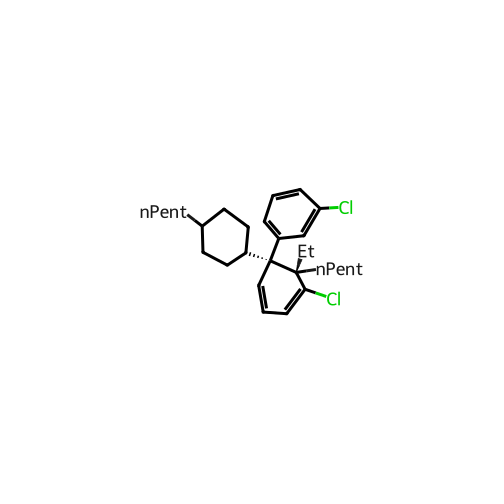 CCCCCC1CCC([C@@]2(c3cccc(Cl)c3)C=CC=C(Cl)[C@@]2(CC)CCCCC)CC1